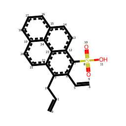 C=CCc1c(C=C)c(S(=O)(=O)O)c2ccc3cccc4ccc1c2c43